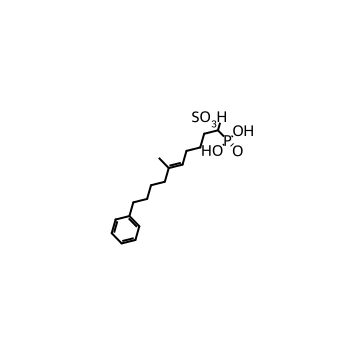 C/C(=C\CCCC(P(=O)(O)O)S(=O)(=O)O)CCCCc1ccccc1